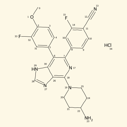 COc1ccc(-c2c(-c3ccc(C#N)c(F)c3)nc(N3CCC(N)CC3)c3nc[nH]c23)cc1F.Cl